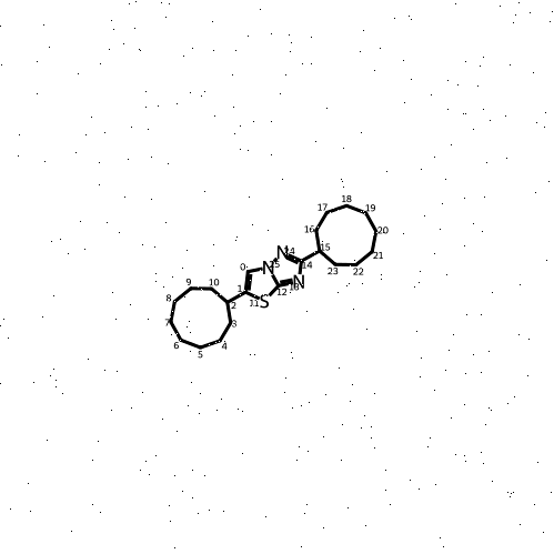 c1c(C2CCCCCCCC2)sc2nc(C3CCCCCCCC3)nn12